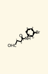 O=CCCC(=O)Nc1cccc(Br)c1